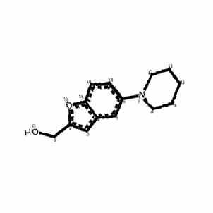 OCc1cc2cc(N3CCCCC3)ccc2o1